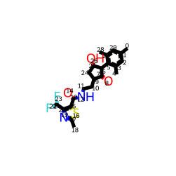 Cc1cc(C)c(C2C(=O)C(CCNC(=O)c3sc(C)nc3C(F)F)CC2O)c(C)c1